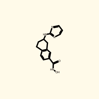 O=C(NO)c1ccc2c(c1)CC(Nc1ncccn1)CC2